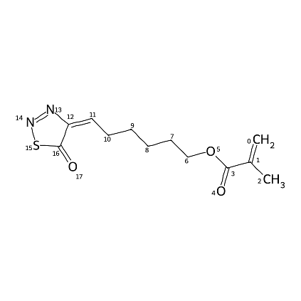 C=C(C)C(=O)OCCCCCC=C1N=NSC1=O